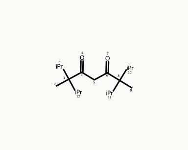 CC(C)C(C)(C(=O)CC(=O)C(C)(C(C)C)C(C)C)C(C)C